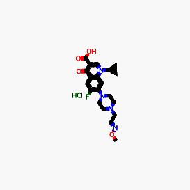 CON=CCN1CCN(c2cc3c(cc2F)c(=O)c(C(=O)O)cn3C2CC2)CC1.Cl